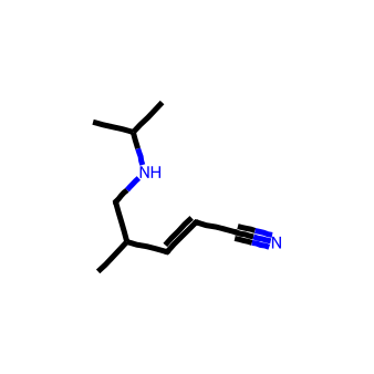 CC(C=CC#N)CNC(C)C